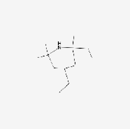 CCC1CC(C)(C)NC(C)(CC)C1